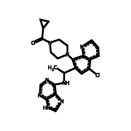 CC(Nc1ncnc2[nH]cnc12)c1cc(Cl)c2cccnc2c1N1CCN(C(=O)C2CC2)CC1